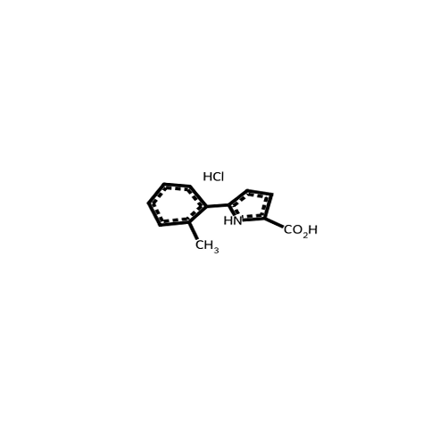 Cc1ccccc1-c1ccc(C(=O)O)[nH]1.Cl